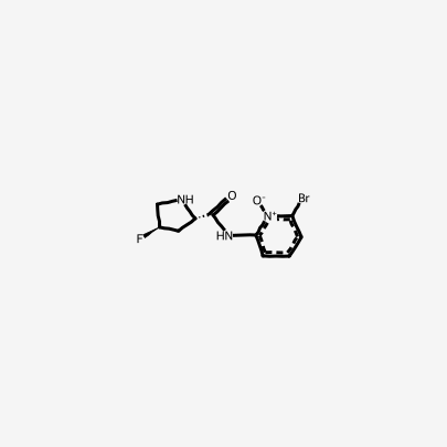 O=C(Nc1cccc(Br)[n+]1[O-])[C@@H]1C[C@@H](F)CN1